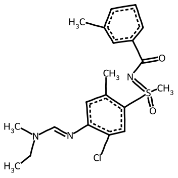 CCN(C)C=Nc1cc(C)c(S(C)(=O)=NC(=O)c2cccc(C)c2)cc1Cl